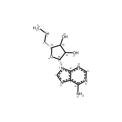 C[Se]C[C@H]1O[C@@H](n2cnc3c(N)ncnc32)C(O)C1O